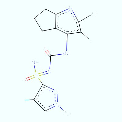 CCc1c(C(F)(F)F)nc2c(c1NC(=O)N=S(N)(=O)c1nn(CC)cc1F)CCC2